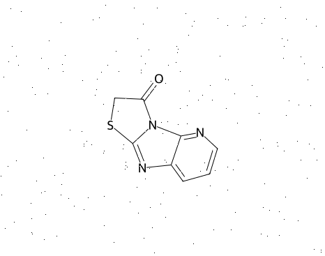 O=C1CSc2nc3cccnc3n21